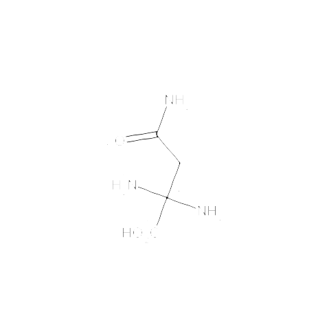 NC(=O)CC(N)(N)C(=O)O